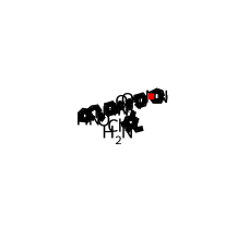 CCc1cc(C[C@@H](NC(=O)N2CCC(N3CCc4ccccc4NC3=O)CC2)C(=O)N2CCC(N3CCCN(C)CC3)CC2)cc(Cl)c1N